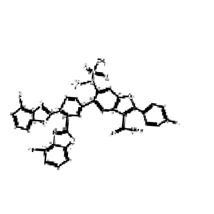 CNC(=O)c1c(-c2ccc(F)cc2)oc2cc(N(C)S(C)(=O)=O)c(-c3ccc(-c4nc5c(F)cccc5o4)c(-c4nc5c(F)cccc5o4)c3)cc12